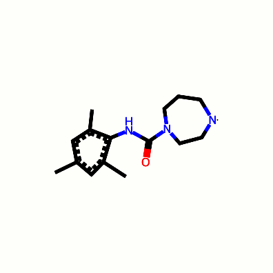 Cc1cc(C)c(NC(=O)N2CCC[N]CC2)c(C)c1